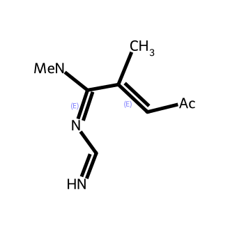 CNC(=N/C=N)/C(C)=C/C(C)=O